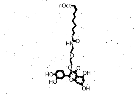 CCCCCCCC/C=C\CCCCCCCC(=O)NCCOCCOc1c(-c2ccc(O)c(O)c2)oc2cc(O)cc(O)c2c1=O